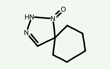 O=[N+]1NN=CC12CCCCC2